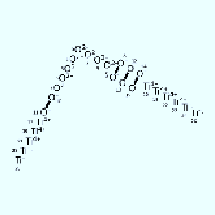 [O-2].[O-2].[O-2].[O-2].[O-2].[O-2].[O-2].[O-2].[O-][O-].[O-][O-].[O-][O-].[O-][O-].[Ti+4].[Ti+4].[Ti+4].[Ti+4].[Ti+4].[Ti+4].[Ti+4].[Ti-].[Ti-].[Ti-].[Ti-]